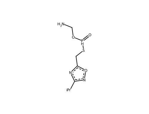 CC(C)c1noc(CS[PH](=O)OCN)n1